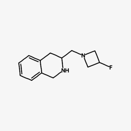 FC1CN(CC2Cc3ccccc3CN2)C1